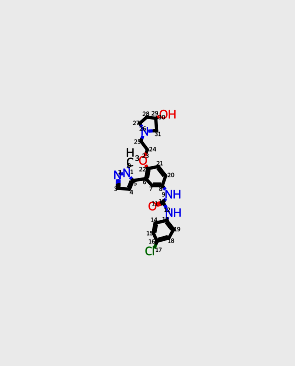 Cn1nccc1-c1cc(NC(=O)Nc2ccc(Cl)cc2)ccc1OCCN1CCC(O)C1